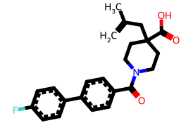 C=C(C)CC1(C(=O)O)CCN(C(=O)c2ccc(-c3ccc(F)cc3)cc2)CC1